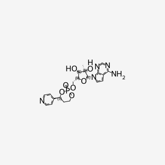 C[C@@]1(O)[C@H](O)[C@@H](COP2(=O)OCC[C@@H](c3ccncc3)O2)O[C@H]1n1ccc2c(N)ncnc21